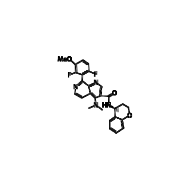 COc1ccc(F)c(-c2nccc3c(N(C)C)c(C(=O)N[C@H]4CCOc5ccccc54)cnc23)c1F